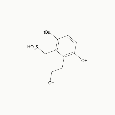 CC(C)(C)c1ccc(O)c(CCO)c1CS(=O)(=O)O